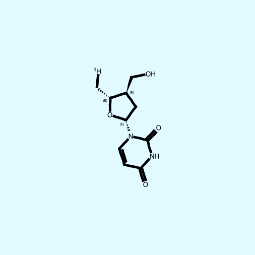 [3H]C[C@H]1O[C@@H](n2ccc(=O)[nH]c2=O)C[C@@H]1CO